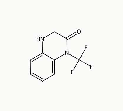 O=C1CNc2ccccc2N1C(F)(F)F